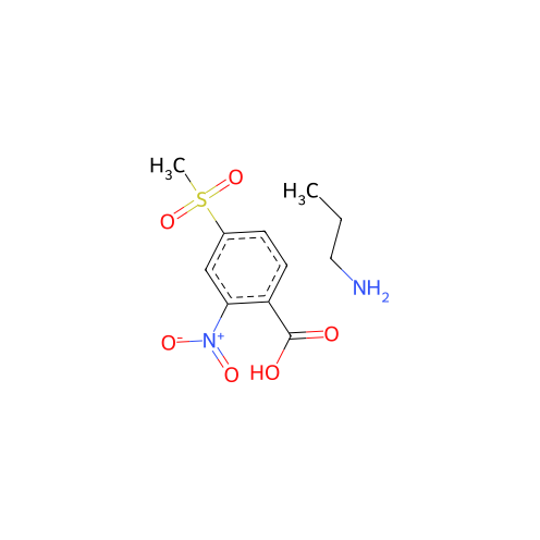 CCCN.CS(=O)(=O)c1ccc(C(=O)O)c([N+](=O)[O-])c1